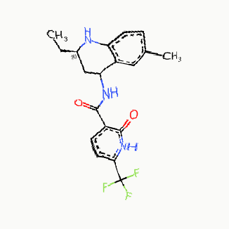 CC[C@@H]1CC(NC(=O)c2ccc(C(F)(F)F)[nH]c2=O)c2cc(C)ccc2N1